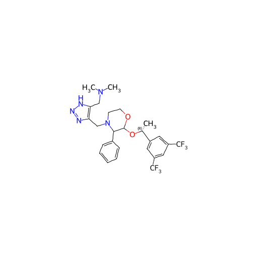 C[C@@H](OC1OCCN(Cc2nn[nH]c2CN(C)C)C1c1ccccc1)c1cc(C(F)(F)F)cc(C(F)(F)F)c1